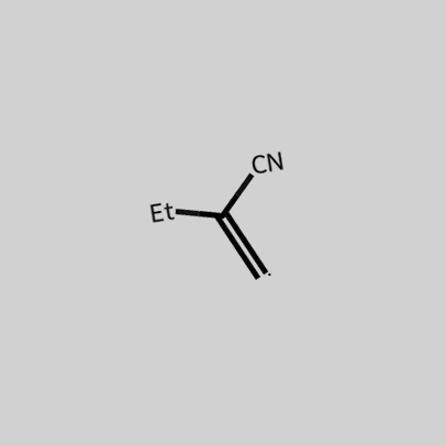 [CH]=C(C#N)CC